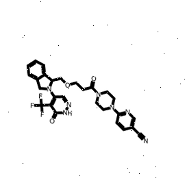 N#Cc1ccc(N2CCN(C(=O)CCOCC3c4ccccc4CN3c3cn[nH]c(=O)c3C(F)(F)F)CC2)nc1